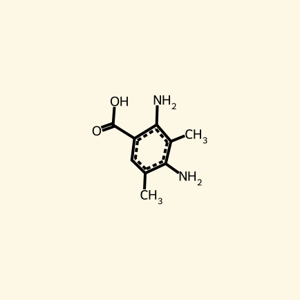 Cc1cc(C(=O)O)c(N)c(C)c1N